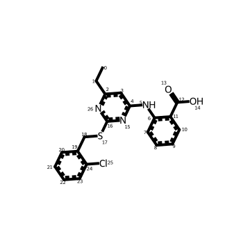 CCc1cc(Nc2ccccc2C(=O)O)nc(SCc2ccccc2Cl)n1